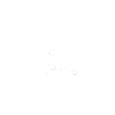 CCOc1cccc([C@@H](C)CC(=O)Nc2sc3c(c2C#N)CCN(C(=O)Cn2ccnc2)C3)c1